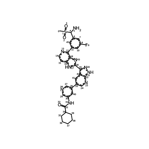 CS(=O)(=O)C(N)c1cc(F)cc(-c2nccc3[nH]c(-c4n[nH]c5ncc(-c6cncc(NC(=O)C7CCCCC7)c6)cc45)nc23)c1